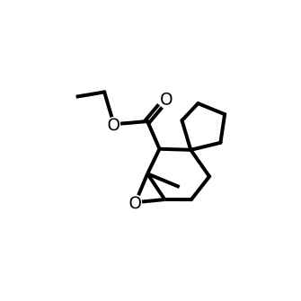 CCOC(=O)C1C2(CCCC2)CCC2OC21C